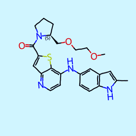 COCCOC[C@@H]1CCCN1C(=O)c1cc2nccc(Nc3ccc4[nH]c(C)cc4c3)c2s1